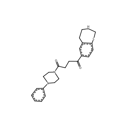 O=C(CCC(=O)N1CCN(c2ccccc2)CC1)c1ccc2c(c1)CCNCC2